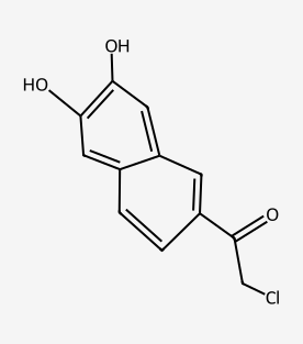 O=C(CCl)c1ccc2cc(O)c(O)cc2c1